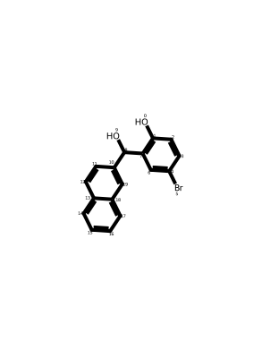 Oc1ccc(Br)cc1C(O)c1ccc2ccccc2c1